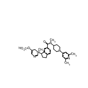 Cc1cc(N2CCC(N(C)C(=O)c3ccc4c(c3)C([N+]3(C)C=NC=C(OC(=O)O)C3)CC4)CC2)cc(C)n1